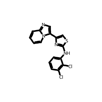 Clc1cccc(Nc2nc(-c3cnc4ccccn34)cs2)c1Cl